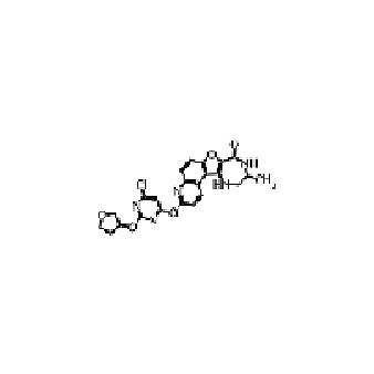 CC1CNc2c(oc3ccc4nc(Oc5cc(Cl)nc(OC6CCOC6)n5)ccc4c23)C(=O)N1